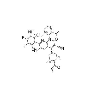 C=CC(=O)N1[C@H](C)CN(c2c(C#N)c(=O)n(C3C(C(C)C)=NC=C[C@H]3C)c3nc(-c4c(Cl)c(N)c(F)c(F)c4Cl)c(Cl)cc23)C[C@@H]1C